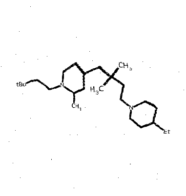 CCC1CCN(CCC(C)(C)CC2CCN(CCC(C)(C)C)C(C)C2)CC1